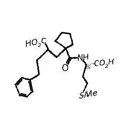 CSCC[C@H](NC(=O)C1(CC(CCc2ccccc2)C(=O)O)CCCC1)C(=O)O